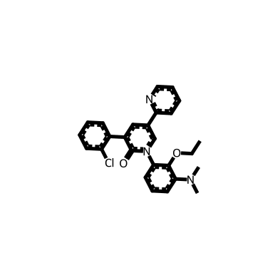 CCOc1c(N(C)C)cccc1-n1cc(-c2ccccn2)cc(-c2ccccc2Cl)c1=O